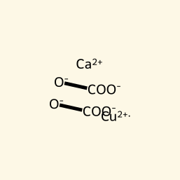 O=C([O-])[O-].O=C([O-])[O-].[Ca+2].[Cu+2]